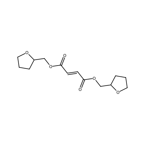 O=C(C=CC(=O)OCC1CCCO1)OCC1CCCO1